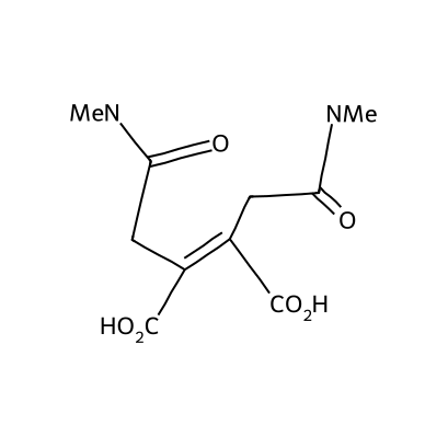 CNC(=O)CC(C(=O)O)=C(CC(=O)NC)C(=O)O